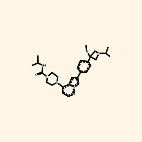 COC1(c2ccc(-c3cc4c(N5CCN(C(=O)NC(C)C)CC5)ccnn4c3)cc2)CN(C(C)C)C1